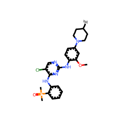 [2H]C1CCN(c2ccc(Nc3ncc(Cl)c(Nc4ccccc4P(C)(C)=O)n3)c(OC)c2)CC1